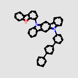 c1ccc(-c2ccc(-c3cccc(-n4c5ccccc5c5cc6c(cc54)c4ccccc4n6-c4cccc5c4oc4ccccc45)c3)cc2)cc1